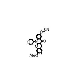 COc1ccc(CC2C(=O)c3cc(OCC#N)ccc3N(C3CCOCC3)C2=O)cn1